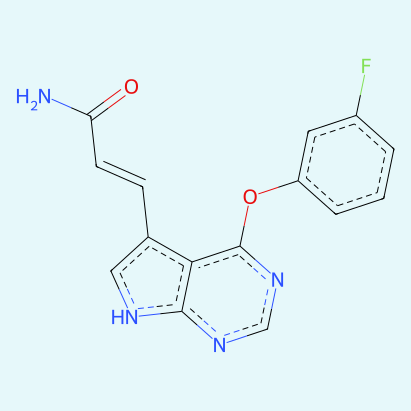 NC(=O)C=Cc1c[nH]c2ncnc(Oc3cccc(F)c3)c12